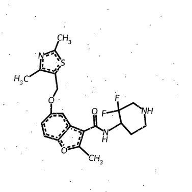 Cc1nc(C)c(COc2ccc3oc(C)c(C(=O)NC4CCNCC4(F)F)c3c2)s1